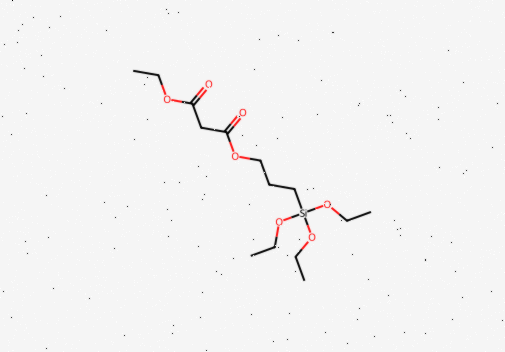 CCOC(=O)CC(=O)OCCC[Si](OCC)(OCC)OCC